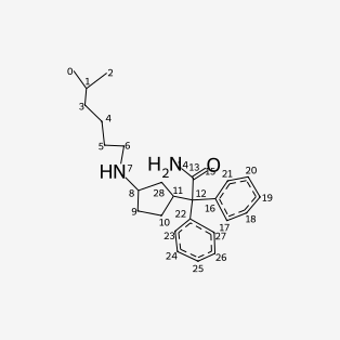 CC(C)CCCCNC1CCC(C(C(N)=O)(c2ccccc2)c2ccccc2)C1